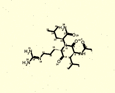 CC(=O)N[C@@H](CC(C)C)C(=O)N([C@H](C=O)CCCN=C(N)N)[C@@H](CC(C)C)C(N)=O